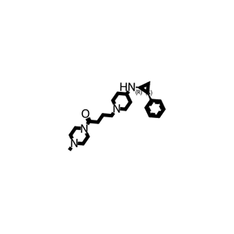 CN1CCN(C(=O)CCCN2CCC(N[C@@H]3C[C@H]3c3ccccc3)CC2)CC1